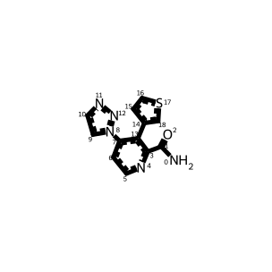 NC(=O)c1nccc(-n2ccnn2)c1-c1ccsc1